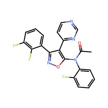 CC(=O)N(c1ccccc1F)c1onc(-c2cccc(F)c2F)c1-c1ccncn1